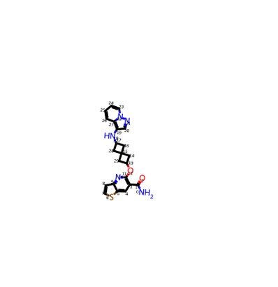 NC(=O)c1cc2sccc2nc1OC1CC2(CC(Nc3cnn4ccccc34)C2)C1